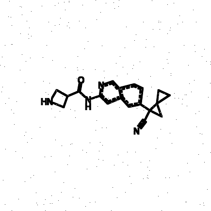 N#CC1(c2ccc3cnc(NC(=O)C4CNC4)cc3c2)CC12CC2